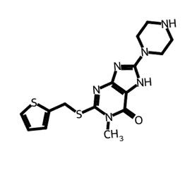 Cn1c(SCc2cccs2)nc2nc(N3CCNCC3)[nH]c2c1=O